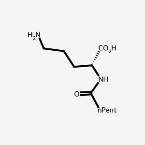 CCCCCC(=O)N[C@H](CCCN)C(=O)O